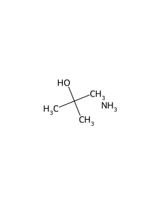 CC(C)(C)O.N